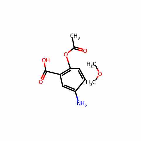 CC(=O)Oc1ccc(N)cc1C(=O)O.COC